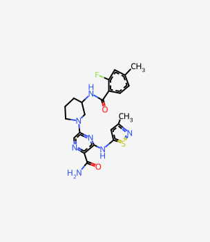 Cc1ccc(C(=O)NC2CCCN(c3cnc(C(N)=O)c(Nc4cc(C)ns4)n3)C2)c(F)c1